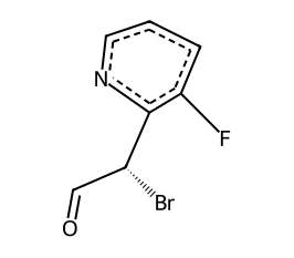 O=C[C@@H](Br)c1ncccc1F